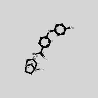 CC(=O)c1ccc(Oc2ccc(C(=O)N[C@@H]3C[C@@H]4CCN(C4)C3)cc2)cc1